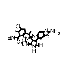 CCNC(=O)c1c(C)c(Cl)cc(C(C)C2(N)N=CN=C3NNC(c4ccc5nc(N)sc5c4)=C32)c1OCC